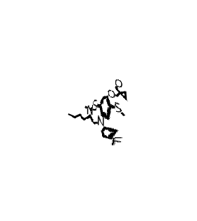 CCCCC1CN(c2ccc(F)cc2)c2cc(SC)c(OCC3(C=O)CC3)cc2SN1C